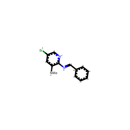 CNc1cc(Br)cnc1/N=C/c1ccccc1